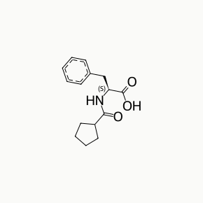 O=C(N[C@@H](Cc1ccccc1)C(=O)O)C1CCCC1